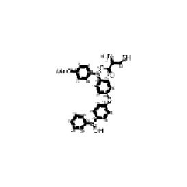 COc1ccc(B(OC(=O)C(N)CS)c2ccc(Oc3ccc(B(O)c4ccccc4)cc3)cc2)cc1